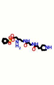 NC(CCNC(=O)CCNC(=O)CCC1CCNCC1)CC(=O)OS(=O)(=O)c1ccccc1